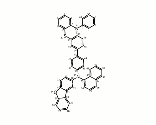 c1ccc(N2c3ccccc3Sc3cc(-c4ccc(N(c5ccc6oc7ccccc7c6c5)c5cccc6ccccc56)cc4)ccc32)cc1